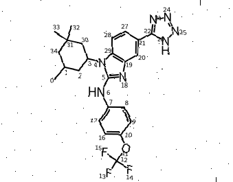 CC1CC(n2c(Nc3ccc(OC(F)(F)F)cc3)nc3cc(-c4nnn[nH]4)ccc32)CC(C)(C)C1